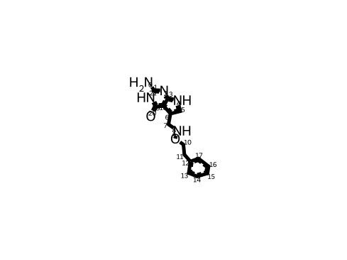 Nc1nc2[nH]cc(CNOCCc3ccccc3)c2c(=O)[nH]1